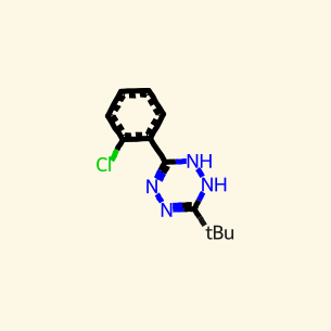 CC(C)(C)C1=NN=C(c2ccccc2Cl)NN1